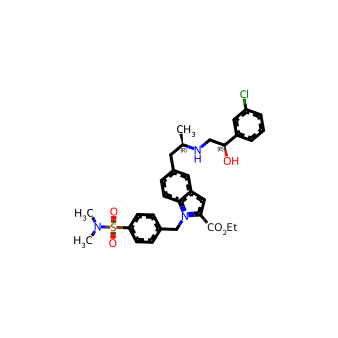 CCOC(=O)c1cc2cc(C[C@@H](C)NC[C@H](O)c3cccc(Cl)c3)ccc2n1Cc1ccc(S(=O)(=O)N(C)C)cc1